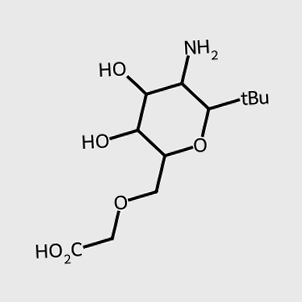 CC(C)(C)C1OC(COCC(=O)O)C(O)C(O)C1N